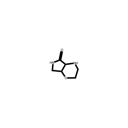 O=C1NCC2OCCNC12